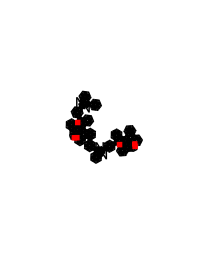 c1ccc(-c2nc(-c3cccc(-c4cc5c(c6ccccc46)-c4c(c6ccccc6c6c(-c7cccc(-c8nc(-c9ccc(-c%10cc%11c(c%12ccccc%10%12)-c%10c(c%12ccccc%12c%12ccccc%10%12)C%11%10c%11ccccc%11-c%11ccccc%11%10)cc9)nc9ccccc89)c7)cccc46)C54c5ccccc5-c5ccccc54)c3)nc3ccccc23)cc1